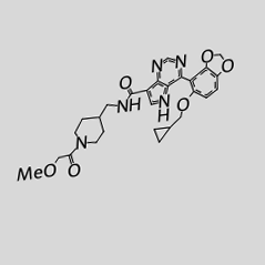 COCC(=O)N1CCC(CNC(=O)c2c[nH]c3c(-c4c(OCC5CC5)ccc5c4OCO5)ncnc23)CC1